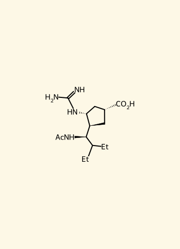 CCC(CC)[C@@H](NC(C)=O)[C@@H]1C[C@@H](C(=O)O)C[C@H]1NC(=N)N